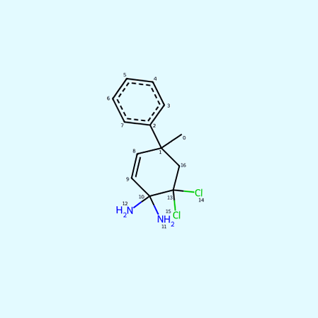 CC1(c2ccccc2)C=CC(N)(N)C(Cl)(Cl)C1